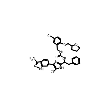 Nc1n[nH]c2cc(-c3nc(C(Cc4ccccc4)NC(=O)NCc4cc(Cl)ccc4OCC4CCCO4)[nH]c3Cl)ccc12